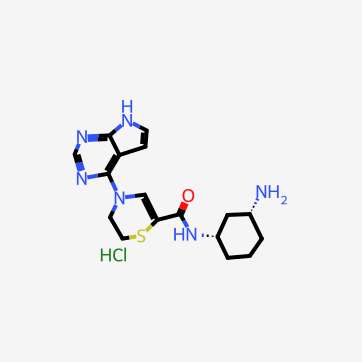 Cl.N[C@@H]1CCC[C@H](NC(=O)C2=CN(c3ncnc4[nH]ccc34)CCS2)C1